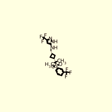 CC(C)([C@H]1C[C@@H](CNc2cc(C(F)(F)F)n[nH]2)C1)S(=O)(=O)c1cccc(C(F)(F)F)c1